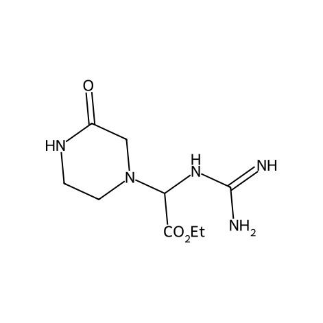 CCOC(=O)C(NC(=N)N)N1CCNC(=O)C1